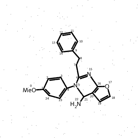 COc1ccc(N2C(CCc3ccccc3)=Nc3occc3C2N)cc1